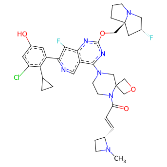 CN1CC[C@@H]1/C=C/C(=O)N1CCN(c2nc(OC[C@@]34CCCN3C[C@H](F)C4)nc3c(F)c(-c4cc(O)cc(Cl)c4C4CC4)ncc23)CC12COC2